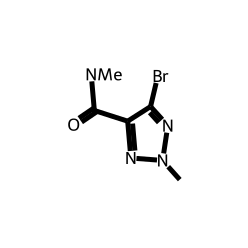 CNC(=O)c1nn(C)nc1Br